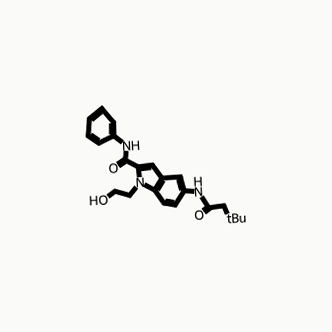 CC(C)(C)CC(=O)Nc1ccc2c(c1)cc(C(=O)Nc1ccccc1)n2CCO